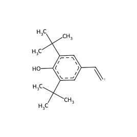 [C]=Cc1cc(C(C)(C)C)c(O)c(C(C)(C)C)c1